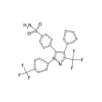 NS(=O)(=O)c1ccc(-c2c(-c3ccccc3)c(C(F)(F)F)nn2-c2ccc(C(F)(F)F)cc2)cc1